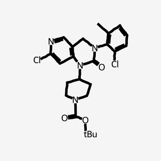 Cc1cccc(Cl)c1N1Cc2cnc(Cl)cc2N(C2CCN(C(=O)OC(C)(C)C)CC2)C1=O